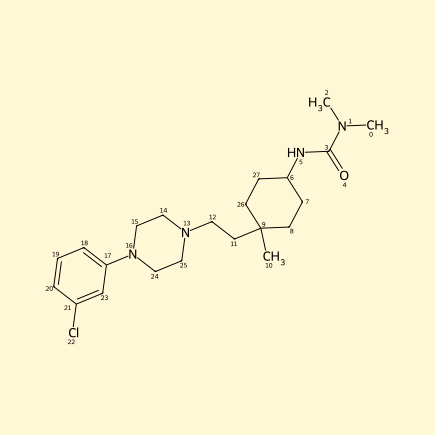 CN(C)C(=O)NC1CCC(C)(CCN2CCN(c3cccc(Cl)c3)CC2)CC1